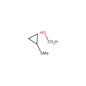 CSC1CC1.O=C(O)O